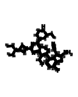 CCC1CN(c2nc(N3CC(N(CC)CC)C3)nc3c(CF)c(-c4ccc(F)c5sc(N)c(C#N)c45)ncc23)CCN1